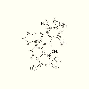 CC1=CC(C)(C)N(C)c2cc(C3(c4ccc5c(c4)N(C)C(C)(C)C=C5C)CCCC3)ccc21